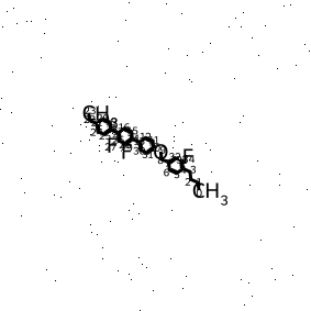 CCCCc1ccc(COc2ccc(-c3ccc(-c4ccc(CC)cc4)c(F)c3F)cc2)cc1F